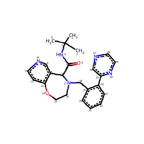 CC(C)(C)NC(=O)C1c2cnccc2OCCN1Cc1ccccc1-c1cnccn1